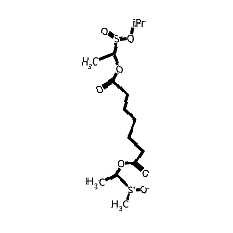 CC(C)OS(=O)C(C)OC(=O)CCCCCC(=O)OC(C)[S+](C)[O-]